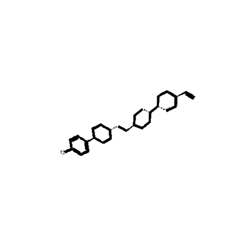 C=C[C@H]1CC[C@H]([C@H]2CC[C@H](CC[C@H]3CC[C@H](c4ccc(Cl)cc4)CC3)CC2)CC1